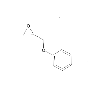 C1=C=C(OCC2CO2)C=CC=1